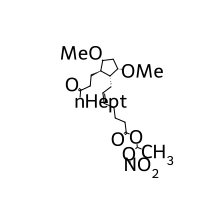 CCCCCCCC(=O)CC[C@@H]1[C@@H](C/C=C\CCCC(=O)OC(C)O[N+](=O)[O-])[C@@H](OC)C[C@H]1OC